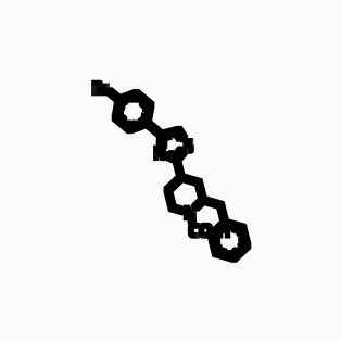 O=C(O)N1CCC(c2nc(-c3ccc(Br)cc3)cs2)CC1Cc1ccccc1